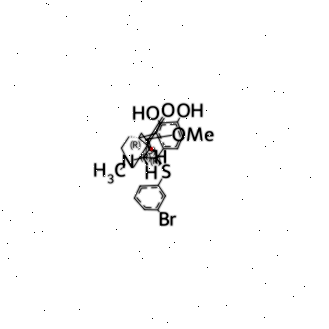 COC1=C[C@@H]2[C@@H]3[C@H](Sc4cccc(Br)c4)c4ccc(O)c(O)c4[C@]2(CCN3C)CC1=O